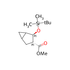 COC(=O)[C@@H]1CC2CC2[C@H]1O[Si](C)(C)C(C)(C)C